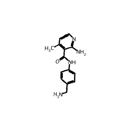 Cc1ccnc(N)c1C(=O)Nc1ccc(CN)cc1